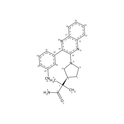 CC(C)(C(N)=O)[C@@H]1CCN(c2nc3ccccc3nc2-c2cccc(C#N)c2)C1